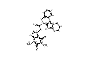 Cn1c(=O)c2c(ncn2CC(=O)N(Cc2ccccc2)c2nc3c(s2)CCCC3)n(C)c1=O